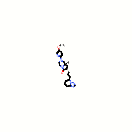 COc1ccc(N2CCN3C(=O)[C@@H](CCCc4cccc5ncnn45)C[C@H]3C2)nc1